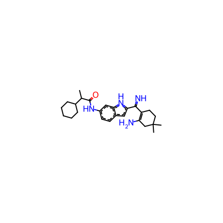 CC(C(=O)Nc1ccc2cc(C(=N)C3=C(N)CC(C)(C)CC3)[nH]c2c1)C1CCCCC1